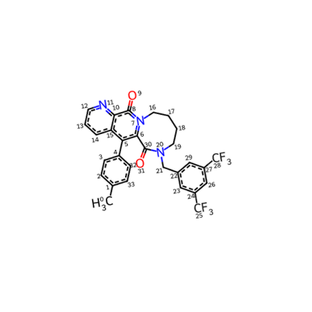 Cc1ccc(-c2c3n(c(=O)c4ncccc24)CCCCN(Cc2cc(C(F)(F)F)cc(C(F)(F)F)c2)C3=O)cc1